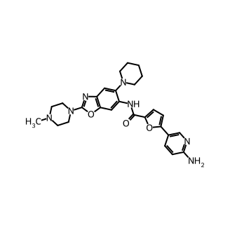 CN1CCN(c2nc3cc(N4CCCCC4)c(NC(=O)c4ccc(-c5ccc(N)nc5)o4)cc3o2)CC1